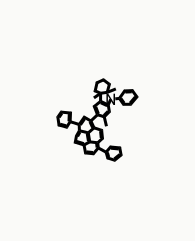 Cc1cc2c(cc1-c1cc(-c3ccccc3)c3ccc4ccc(-c5ccccc5)c5ccc1c3c45)C1(C)CCCCC1(C)N2c1ccccc1